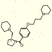 O=C(c1ccc(OCCCN2CCCCC2)cc1)N1CCC[C@H]1CN1CCCCC1